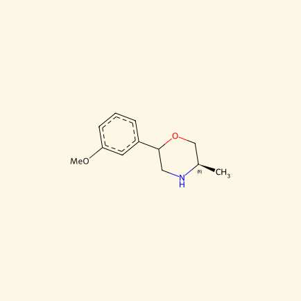 COc1cccc(C2CN[C@H](C)CO2)c1